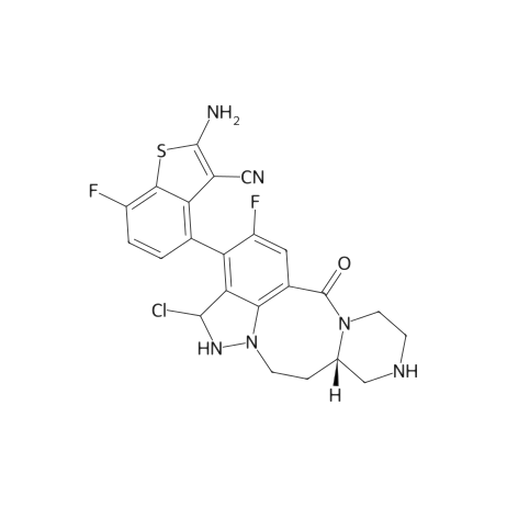 N#Cc1c(N)sc2c(F)ccc(-c3c(F)cc4c5c3C(Cl)NN5CC[C@H]3CNCCN3C4=O)c12